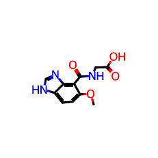 COc1ccc2[nH]cnc2c1C(=O)NCC(=O)O